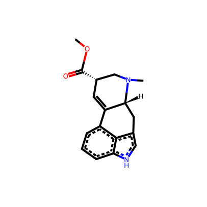 COC(=O)[C@H]1C=C2c3cccc4[nH]cc(c34)C[C@H]2N(C)C1